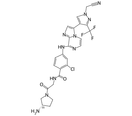 N#CCn1cc(-c2cnc3c(Nc4ccc(C(=O)NCC(=O)N5CC[C@H](N)C5)c(Cl)c4)nccn23)c(C(F)(F)F)n1